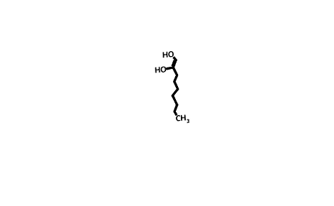 CCCCCCCC(O)=CO